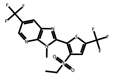 CCS(=O)(=O)c1cc(C(F)(F)F)sc1-c1nc2cc(C(F)(F)F)cnc2n1C